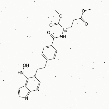 COC(=O)CC[C@H](NC(=O)c1ccc(CCn2cnc3nccc-3c2NO)cc1)C(=O)OC